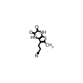 Cc1sc2[nH]c(=O)c(=O)[nH]c2c1CCC#N